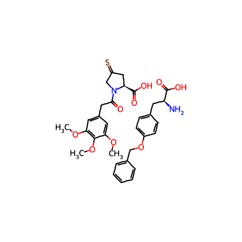 COc1cc(CC(=O)N2CC(=S)C[C@H]2C(=O)O)cc(OC)c1OC.N[C@@H](Cc1ccc(OCc2ccccc2)cc1)C(=O)O